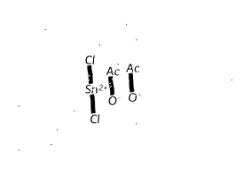 CC(=O)[O-].CC(=O)[O-].[Cl][Sn+2][Cl]